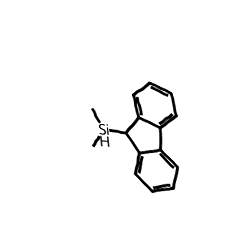 C[SiH](C)C1c2ccccc2-c2ccccc21